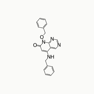 O=c1cc(NCc2ccccc2)c2cncnc2n1OCc1ccccc1